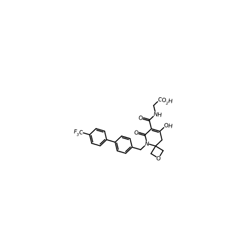 O=C(O)CNC(=O)C1=C(O)CC2(COC2)N(Cc2ccc(-c3ccc(C(F)(F)F)cc3)cc2)C1=O